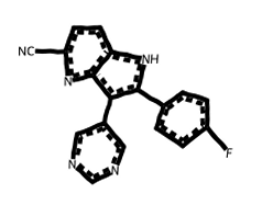 N#Cc1ccc2[nH]c(-c3ccc(F)cc3)c(-c3cncnc3)c2n1